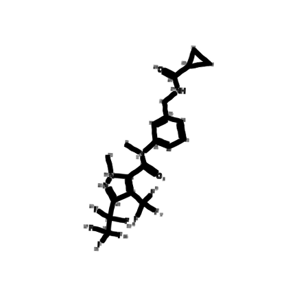 CN(C(=O)c1c(C(F)(F)F)c(C(F)(F)C(F)(F)F)nn1C)c1cccc(CNC(=O)C2CC2)c1